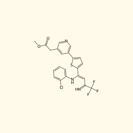 COC(=O)Cc1cncc(-c2ccc(/C(=C/C(=N)C(F)(F)F)Nc3ccccc3Cl)s2)c1